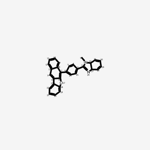 CN1C(c2ccc(-c3c4ccccc4cc4c3oc3ccccc34)cc2)=NC2C=CC=CC21